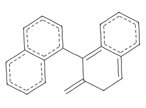 C=C1CC=c2ccccc2=C1c1cccc2ccccc12